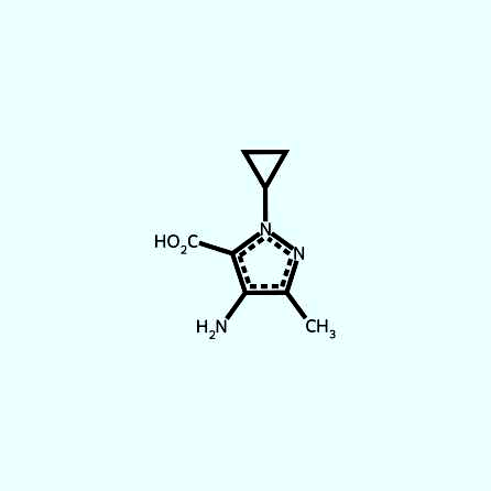 Cc1nn(C2CC2)c(C(=O)O)c1N